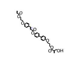 C=CC(=O)OCCCOc1ccc(/C=C/C(=O)Oc2ccc(-c3ccc(OCCCOC(=O)C(=C)CO)cc3)cc2)cc1